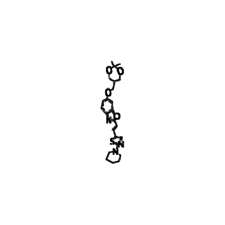 CC1(C)OCC(COc2ccc3nc(/C=C/c4cnc(N5CCCCC5)s4)oc3c2)CO1